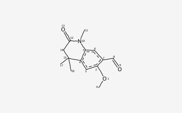 COc1cc2c(cc1C=O)N(C)C(=O)CC2(C)C